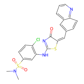 CN(C)S(=O)(=O)c1ccc(Cl)c(NC2=NC(=O)C(=Cc3ccc4ncccc4c3)S2)c1